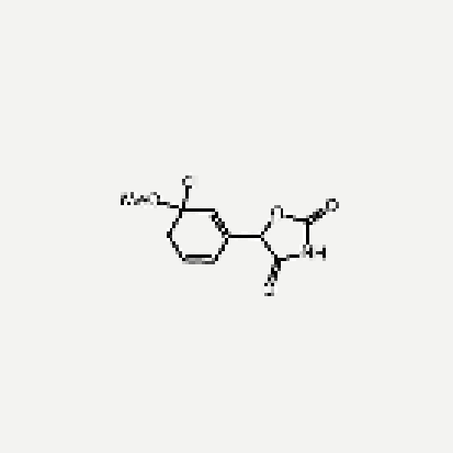 COC1(Cl)C=C(C2OC(=O)NC2=O)C=CC1